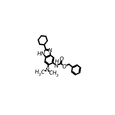 CN(C)c1cc2[nH]c(C3CCCCC3)nc2cc1NC(=O)OCc1ccccc1